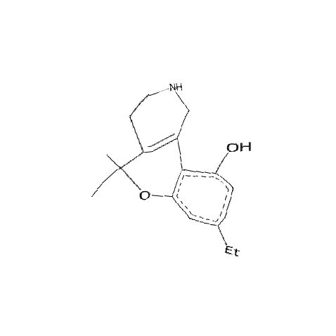 CCc1cc(O)c2c(c1)OC(C)(C)C1=C2CNCC1